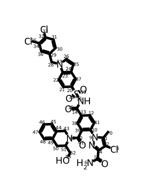 Cc1c(Cl)c(C(N)=O)nn1-c1ccc(C(=O)NS(=O)(=O)c2ccc3c(ccn3Cc3ccc(Cl)c(Cl)c3)c2)cc1C(=O)N1Cc2ccccc2CC1CO